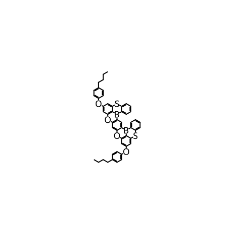 CCCCc1ccc(Oc2cc3c4c(c2)Sc2ccccc2B4c2cc4c(cc2O3)Oc2cc(Oc3ccc(CCCC)cc3)cc3c2B4c2ccccc2S3)cc1